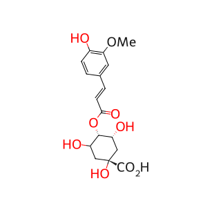 COc1cc(/C=C/C(=O)O[C@H]2C(O)C[C@](O)(C(=O)O)C[C@H]2O)ccc1O